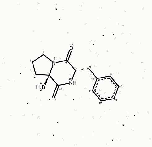 B[C@@]12CCCN1C(=O)[C@H](Cc1ccccc1)NC2=C